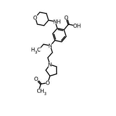 CCN(CCN1CCC(OC(C)=O)C1)c1ccc(C(=O)O)c(NC2CCOCC2)c1